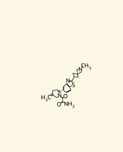 C[C@H]1CC[C@H](c2ccc3sc(C4CC5(C4)CN(C)C5)nc3c2)N(C(=O)C(N)=O)C1